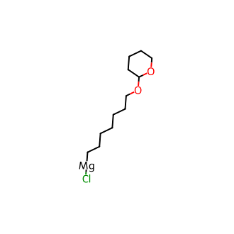 [Cl][Mg][CH2]CCCCCCOC1CCCCO1